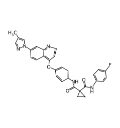 Cc1cnn(-c2ccc3c(Oc4ccc(NC(=O)C5(C(=O)Nc6ccc(F)cc6)CC5)cc4)ccnc3c2)c1